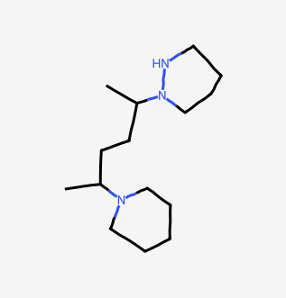 CC(CCC(C)N1CCCCN1)N1CCCCC1